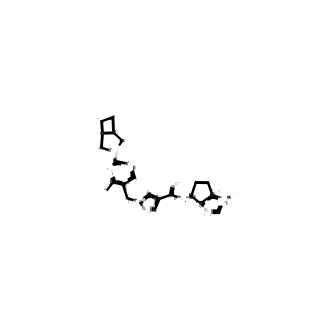 Cc1nc(N2CC3CCC3C2)ncc1Cn1cc(C(=O)N[C@@H]2CCc3c2ncn3C)cn1